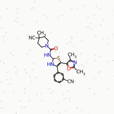 Cc1nc(C)c(C2=C(c3cccc(C#N)c3)NC(NC(=O)N3CCC(C)(C#N)CC3)S2)o1